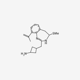 C=C(C)c1cccc2c1N=C(CC1CC(N)C1)NC(SC)C2